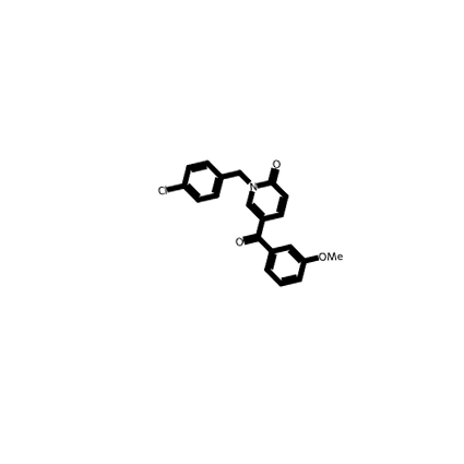 COc1cccc(C(=O)c2ccc(=O)n(Cc3ccc(Cl)cc3)c2)c1